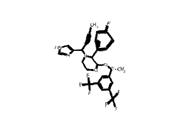 CC#CC(c1c[nH]cn1)N1CCOC(O[C@H](C)c2cc(C(F)(F)F)cc(C(F)(F)F)c2)C1c1ccc(F)cc1